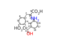 N[C@@H](Cc1ccccc1)C(=O)O.O=C(O)C(O)c1ccccc1